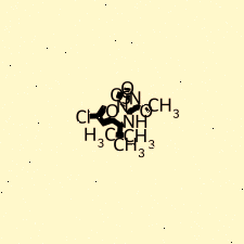 COC1=NS(=O)(=O)N=C1NC(c1cc(Cl)co1)C(C)(C)C